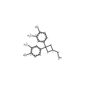 Cc1cc(C2(c3ccc(O)c(C)c3)CC(CC(C)(C)C)C2)ccc1O